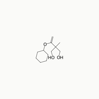 C=C(OC1CCCCC1)C(C)(CO)CO